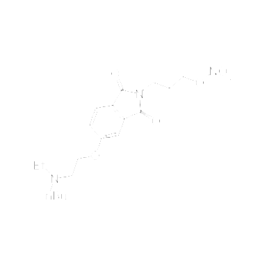 CCCCN(CC)CCOc1ccc2c(c1)C(=O)N(CCCO[N+](=O)[O-])C2=O